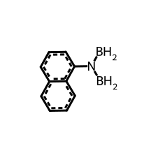 BN(B)c1cccc2ccccc12